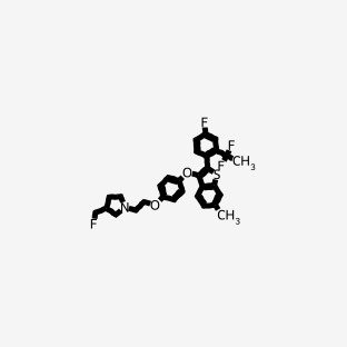 Cc1ccc2c(Oc3ccc(OCCN4CCC(CF)C4)cc3)c(-c3ccc(F)cc3C(C)(F)F)sc2c1